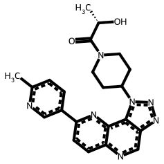 Cc1ccc(-c2ccc3ncc4nnn(C5CCN(C(=O)[C@H](C)O)CC5)c4c3n2)cn1